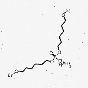 CCOCCCCCCOP(=O)(O)OCCCCCCOCC.[AlH3]